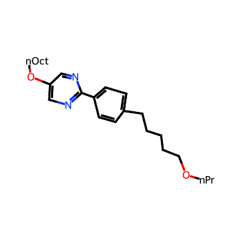 CCCCCCCCOc1cnc(-c2ccc(CCCCCOCCC)cc2)nc1